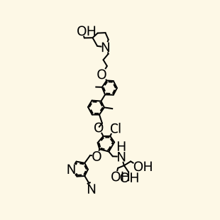 Cc1c(COc2cc(OCc3cncc(C#N)c3)c(CNC(CO)(CO)CO)cc2Cl)cccc1-c1cccc(OCCCN2CCCC(CO)C2)c1C